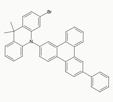 CC1(C)c2ccccc2N(c2ccc3c4ccc(-c5ccccc5)cc4c4ccccc4c3c2)c2cc(Br)ccc21